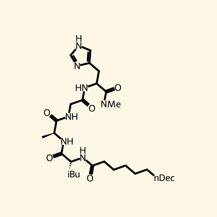 CCCCCCCCCCCCCCCC(=O)NC(C(=O)N[C@@H](C)C(=O)NCC(=O)NC(Cc1c[nH]cn1)C(=O)NC)[C@@H](C)CC